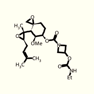 CCNC(=O)OC1CN(C(=O)O[C@@H]2CC[C@]3(CO3)[C@@H]([C@@]3(C)O[C@@H]3CC=C(C)C)[C@@H]2OC)C1